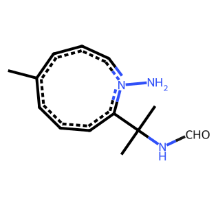 Cc1cccc(C(C)(C)NC=O)n(N)ccc1